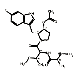 CN[C@@H](C)C(=O)N[C@H](C(=O)N1CC[C@H](OC(C)=O)[C@H]1Cc1c[nH]c2cc(F)ccc12)[C@@H](C)OC